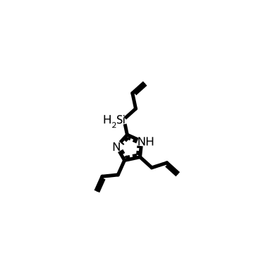 C=CC[SiH2]c1nc(CC=C)c(CC=C)[nH]1